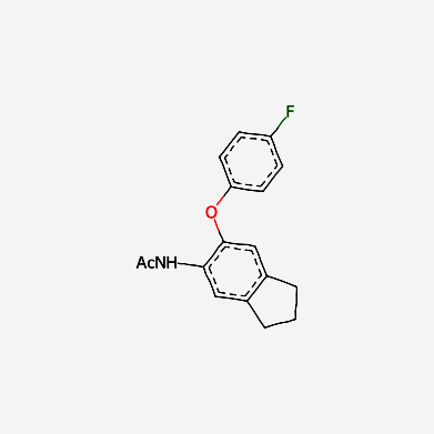 CC(=O)Nc1cc2c(cc1Oc1ccc(F)cc1)CCC2